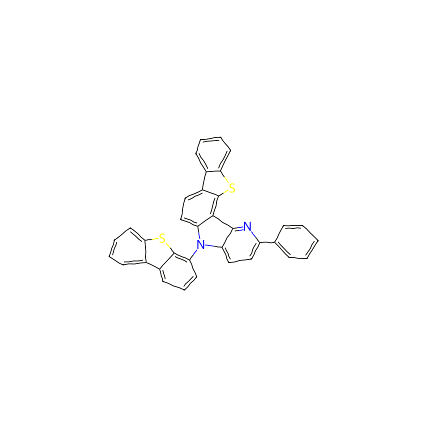 c1ccc(-c2ccc3c(n2)c2c4sc5ccccc5c4ccc2n3-c2cccc3c2sc2ccccc23)cc1